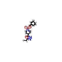 CCc1nnc(C2CCN(C(=O)OCc3ccccc3)CC2)o1